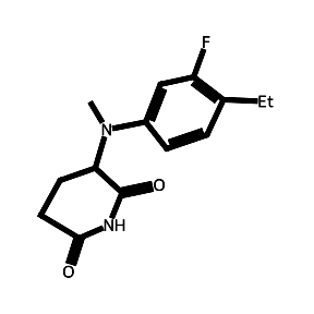 CCc1ccc(N(C)C2CCC(=O)NC2=O)cc1F